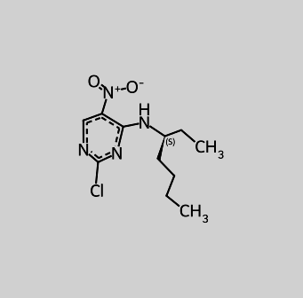 CCCC[C@H](CC)Nc1nc(Cl)ncc1[N+](=O)[O-]